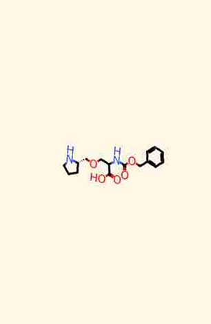 O=C(NC(COC[C@@H]1CCCN1)C(=O)O)OCc1ccccc1